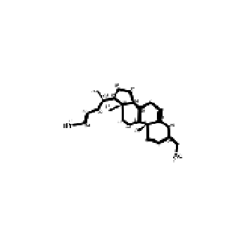 CC(=O)CC1CC[C@@]2(C)C(=CCC3C2CC[C@@]2(C)C3CC[C@@H]2[C@H](C)CCCC(C)C)C1